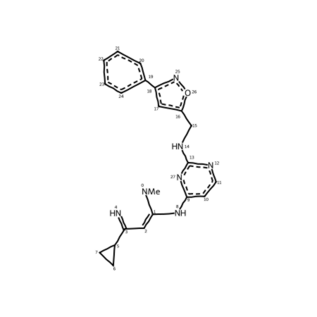 CN/C(=C\C(=N)C1CC1)Nc1ccnc(NCc2cc(-c3ccccc3)no2)n1